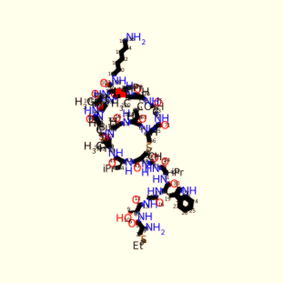 CCSC[C@H](N)C(=O)N[C@@H](CO)C(=O)NCC(=O)N[C@@H](Cc1c[nH]c2ccccc12)C(=O)N[C@H](C(=O)NC(=O)N[C@H]1C(=O)N[C@@H](CC(C)C)C(=O)N[C@H]2C(=O)N[C@@H](C(C)CC)C(=O)N[C@@H](CCC(=O)O)C(=O)N[C@@H](CS[C@H]1C)C(=O)NCC(=O)N[C@@H]1C(=O)N[C@@H](CC(C)C)C(=O)N[C@@H](C(C)C)C(=O)N[C@@H](CS[C@H]2C)C(=O)N[C@@H](C)C(=O)N[C@H](C(=O)NCCCCCCCN)CS[C@H]1C)C(C)C